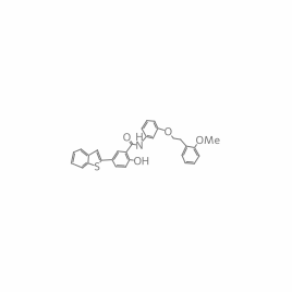 COc1ccccc1CCOc1cccc(NC(=O)c2cc(-c3cc4ccccc4s3)ccc2O)c1